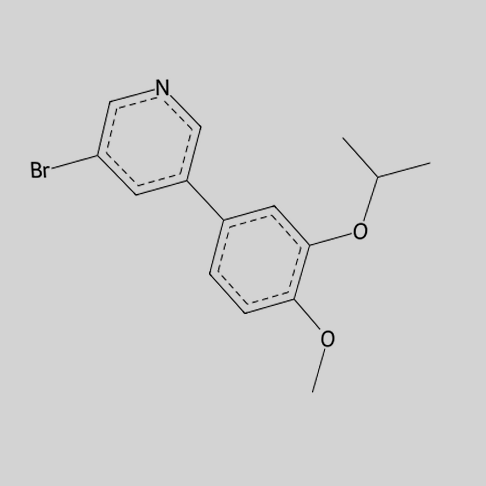 COc1ccc(-c2cncc(Br)c2)cc1OC(C)C